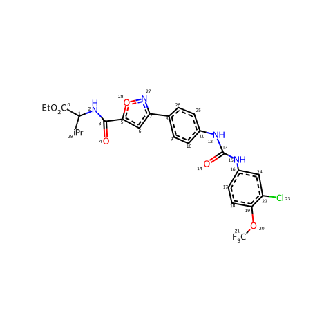 CCOC(=O)C(NC(=O)c1cc(-c2ccc(NC(=O)Nc3ccc(OC(F)(F)F)c(Cl)c3)cc2)no1)C(C)C